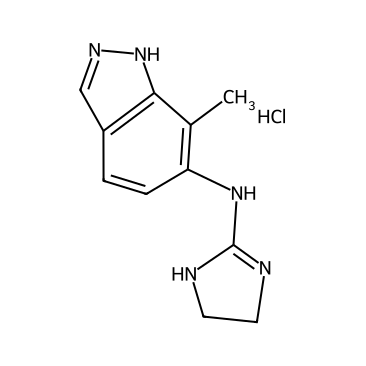 Cc1c(NC2=NCCN2)ccc2cn[nH]c12.Cl